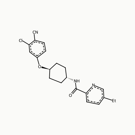 CCc1ccc(C(=O)N[C@H]2CC[C@H](Oc3ccc(C#N)c(Cl)c3)CC2)nc1